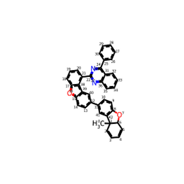 CC12C=CC=CC1Oc1ccc(-c3ccc4oc5cccc(-c6nc(-c7ccccc7)c7ccccc7n6)c5c4c3)cc12